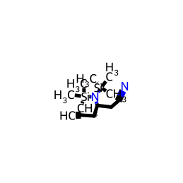 C#CCC(CC#N)N([Si](C)(C)C)[Si](C)(C)C